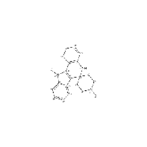 CN1CCC2(CC1)NC1=C(CCC=C1)c1c2c2ccccc2n1C